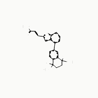 CC1(C)CCC(C)(C)c2cc(-c3cccc4oc(/C=C/C(=O)O)cc34)ccc21